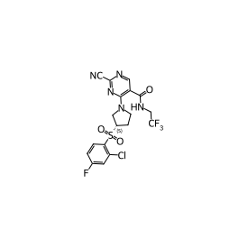 N#Cc1ncc(C(=O)NCC(F)(F)F)c(N2CC[C@H](S(=O)(=O)c3ccc(F)cc3Cl)C2)n1